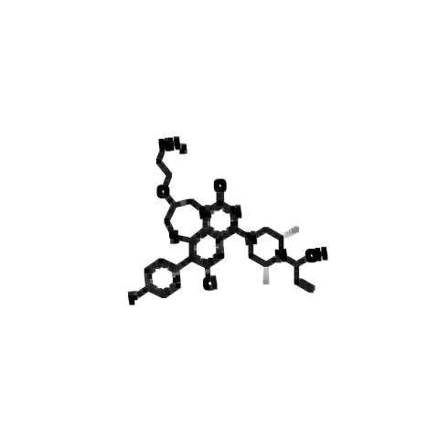 C=CC(O)N1[C@H](C)CN(c2nc(=O)n3c4c(c(-c5ccc(F)cc5)c(Cl)cc24)SCC(OCCN)C3)C[C@@H]1C